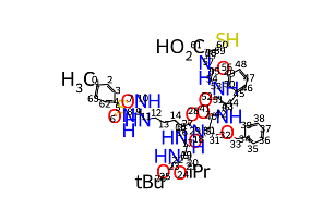 Cc1ccc(S(=O)(=O)NC(=N)NCCC[C@H](NC(=O)[C@H](CC(C)C)NC(=O)OC(C)(C)C)C(=O)N[C@@H](COCc2ccccc2)C(=O)N[C@@H](Cc2ccccc2)C(=O)NCC(=O)N[C@@H](CS)C(=O)O)cc1